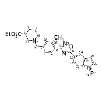 CCOC(=O)C1CCCN(Cc2ccc(-c3noc(-c4ccc5c(ccn5C(C)C)c4)n3)c(C)c2)C1